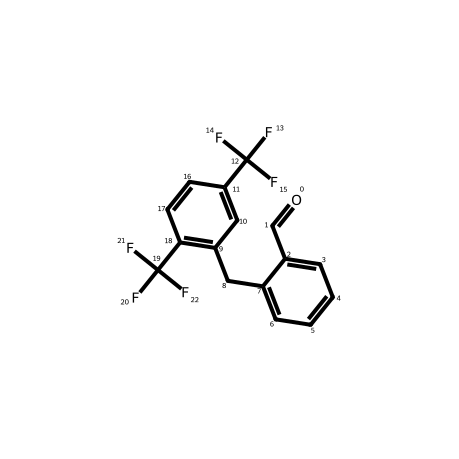 O=Cc1ccccc1Cc1cc(C(F)(F)F)ccc1C(F)(F)F